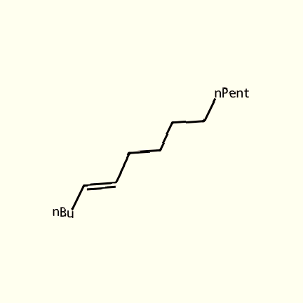 [CH2]CCCC=CCCCCCCCC[CH2]